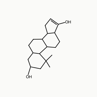 CC1(C)CC(O)CC2CCC3C4CC=C(O)C4CCC3C21